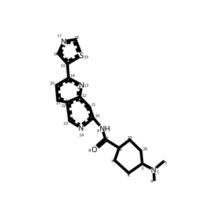 CN(C)C1CCC(C(=O)Nc2cc3nc(-c4cncs4)ccc3cn2)CC1